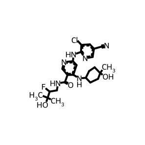 CC1(O)CCC(Nc2cc(Nc3ncc(C#N)cc3Cl)ncc2C(=O)NCC(F)C(C)(C)O)CC1